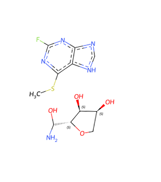 CSc1nc(F)nc2nc[nH]c12.NC(O)[C@H]1OC[C@H](O)[C@@H]1O